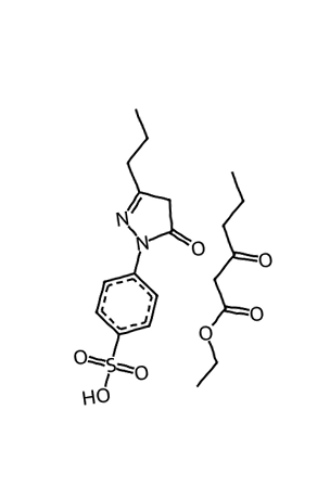 CCCC(=O)CC(=O)OCC.CCCC1=NN(c2ccc(S(=O)(=O)O)cc2)C(=O)C1